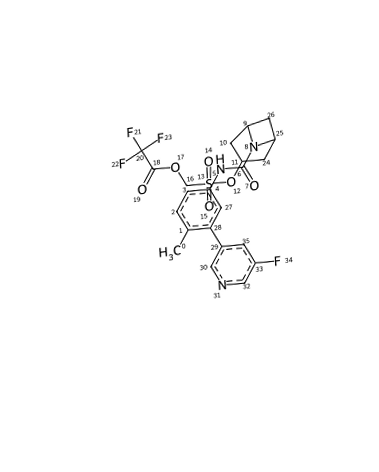 Cc1ccc(NC(=O)N2C3CC(OS(=O)(=O)COC(=O)C(F)(F)F)CC2C3)cc1-c1cncc(F)c1